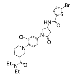 CCN(CC)C(=O)C1CCCN(c2ccc(N3CC(NC(=O)c4ccc(Br)s4)CC3=O)cc2Cl)C1